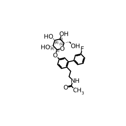 CC(=O)NCCc1ccc(O[C@@H]2O[C@@H](CO)[C@H](O)[C@@H](O)[C@H]2O)cc1-c1cccc(F)c1